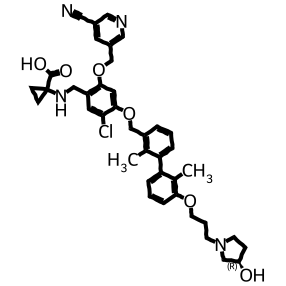 Cc1c(COc2cc(OCc3cncc(C#N)c3)c(CNC3(C(=O)O)CC3)cc2Cl)cccc1-c1cccc(OCCCN2CC[C@@H](O)C2)c1C